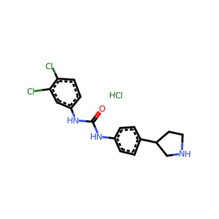 Cl.O=C(Nc1ccc(C2CCNC2)cc1)Nc1ccc(Cl)c(Cl)c1